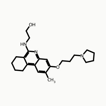 Cc1cc2c3c(c(NCCO)nc2cc1OCCCN1CCCC1)CCCC3